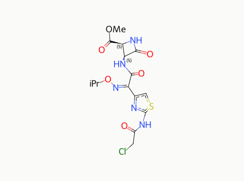 COC(=O)[C@H]1NC(=O)[C@H]1NC(=O)C(=NOC(C)C)c1csc(NC(=O)CCl)n1